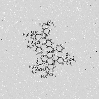 CC(C)(C)c1ccc(N2c3ccc(C(C)(C)C)cc3B3c4cc(C(C)(C)C)ccc4N(c4ccc(C(C)(C)C)cc4)c4cc(N(c5ccccc5)c5ccc(-n6c7ccc(C(C)(C)C)cc7c7cc(C(C)(C)C)ccc76)cc5)cc2c43)cc1